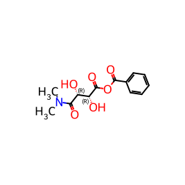 CN(C)C(=O)[C@H](O)[C@@H](O)C(=O)OC(=O)c1ccccc1